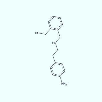 Nc1ccc(CCNCc2ccccc2CO)cc1